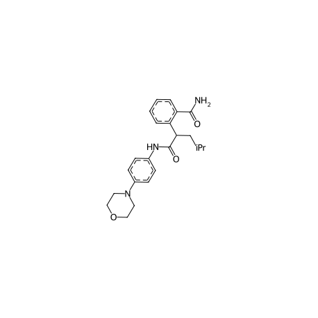 CC(C)CC(C(=O)Nc1ccc(N2CCOCC2)cc1)c1ccccc1C(N)=O